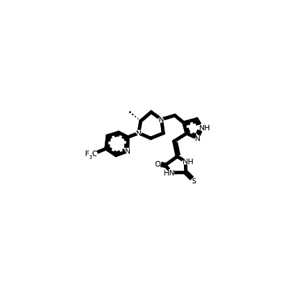 C[C@@H]1CN(Cc2c[nH]nc2/C=C2\NC(=S)NC2=O)CCN1c1ccc(C(F)(F)F)cn1